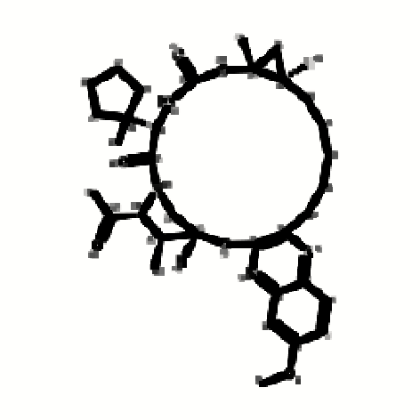 COc1ccc2nc3c(nc2c1)O[C@H]1CN(C(=O)[C@H](C2(C)CCCC2)NC(=O)O[C@]2(C)C[C@H]2CCCCC3)[C@H](C(C)=O)[C@@H]1C